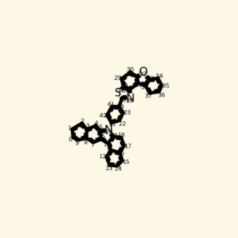 c1ccc2cc3c(cc2c1)c1c2ccccc2ccc1n3-c1ccc(-c2nc3c(ccc4oc5ccccc5c43)s2)cc1